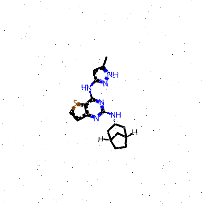 Cc1cc(Nc2nc(N[C@@H]3C[C@@H]4CC[C@@H](C4)C3)nc3ccsc23)n[nH]1